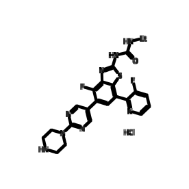 CCNC(=O)Nc1nc2c(F)c(-c3cnc(N4CCNCC4)nc3)cc(-c3ncccc3F)c2s1.Cl